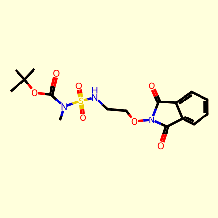 CN(C(=O)OC(C)(C)C)S(=O)(=O)NCCON1C(=O)c2ccccc2C1=O